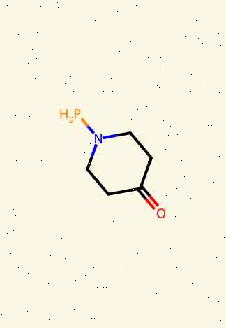 O=C1CCN(P)CC1